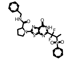 CC(C(F)(F)c1nc2sc(N3CCCC3C(=O)NCc3ccccc3)nc2c(=O)[nH]1)S(=O)(=O)c1ccccc1